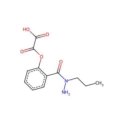 CCCN(N)C(=O)c1ccccc1OC(=O)C(=O)O